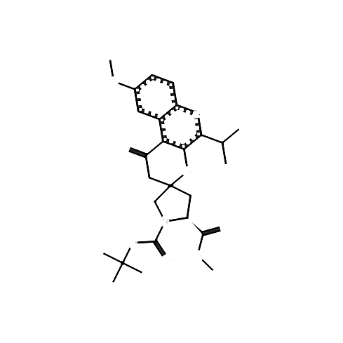 COC(=O)[C@@H]1CC2(CC(=O)c3c(c(C(C)C)nc4ccc(OC)cc34)O2)CN1C(=O)OC(C)(C)C